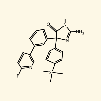 CN1C(=O)C(c2ccc([Si](C)(C)C)cc2)(c2cccc(-c3ccc(F)nc3)c2)N=C1N